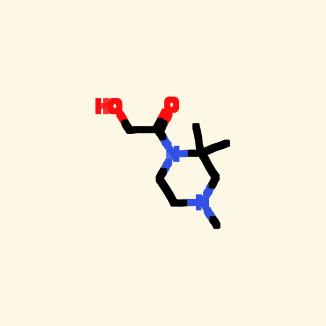 CN1CCN(C(=O)CO)C(C)(C)C1